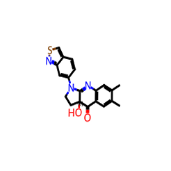 Cc1cc2c(cc1C)C(=O)[C@]1(O)CCN(c3ccc4csnc4c3)C1=N2